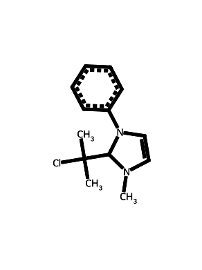 CN1C=CN(c2ccccc2)C1C(C)(C)Cl